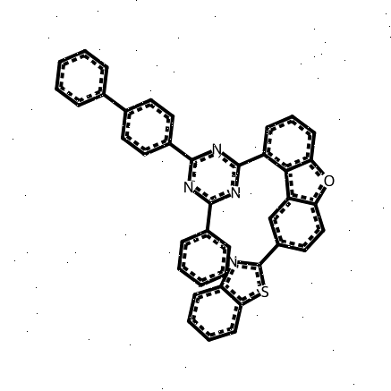 c1ccc(-c2ccc(-c3nc(-c4ccccc4)nc(-c4cccc5oc6ccc(-c7nc8ccccc8s7)cc6c45)n3)cc2)cc1